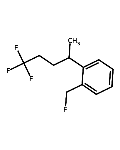 CC(CCC(F)(F)F)c1ccccc1CF